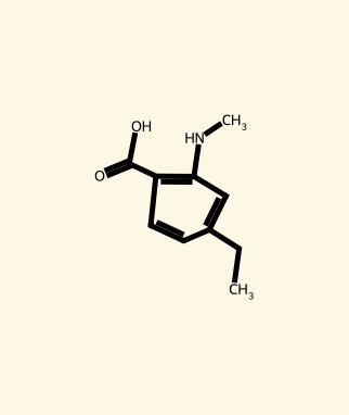 CCc1ccc(C(=O)O)c(NC)c1